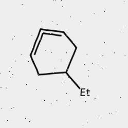 CCC1CC=C=CC1